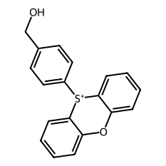 OCc1ccc([S+]2c3ccccc3Oc3ccccc32)cc1